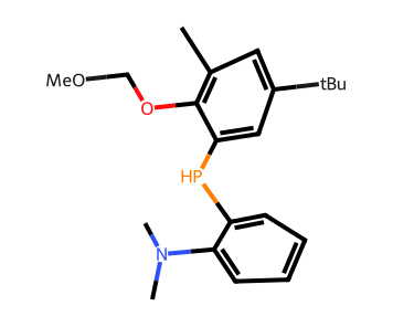 COCOc1c(C)cc(C(C)(C)C)cc1Pc1ccccc1N(C)C